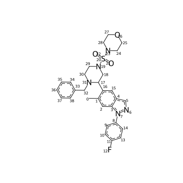 Cc1cc2c(cnn2-c2ccc(F)cc2)cc1C1CN(S(=O)(=O)N2CCOCC2)CCN1Cc1ccccc1